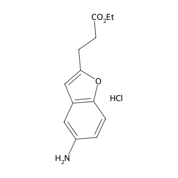 CCOC(=O)CCc1cc2cc(N)ccc2o1.Cl